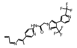 C=C/C=N\C=C(/C)c1ccc(NC(=O)Cn2cc(-c3ccnc(C(F)(F)F)c3)c(C(F)(F)F)n2)nc1